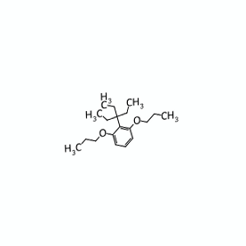 CCCOc1cccc(OCCC)c1C(CC)(CC)CC